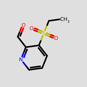 CCS(=O)(=O)c1cccnc1C=O